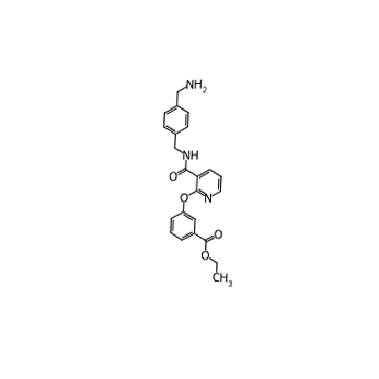 CCOC(=O)c1cccc(Oc2ncccc2C(=O)NCc2ccc(CN)cc2)c1